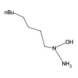 CCCCCCCCN(N)O